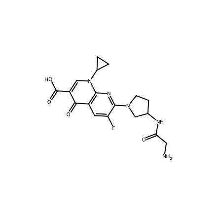 NCC(=O)NC1CCN(c2nc3c(cc2F)c(=O)c(C(=O)O)cn3C2CC2)C1